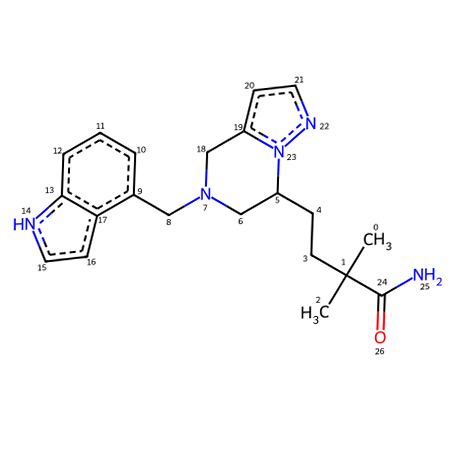 CC(C)(CCC1CN(Cc2cccc3[nH]ccc23)Cc2ccnn21)C(N)=O